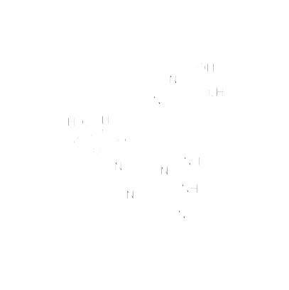 CC(O)c1cc(-c2ccc3nc(Nc4cc(CN5CCN(C(=O)OC(C)(C)C)CC5)ccn4)[nH]c3c2)ncn1